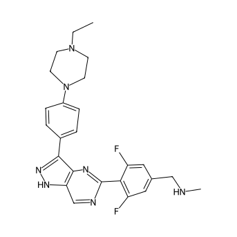 CCN1CCN(c2ccc(-c3n[nH]c4cnc(-c5c(F)cc(CNC)cc5F)nc34)cc2)CC1